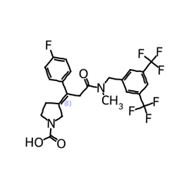 CN(Cc1cc(C(F)(F)F)cc(C(F)(F)F)c1)C(=O)C/C(=C1/CCN(C(=O)O)C1)c1ccc(F)cc1